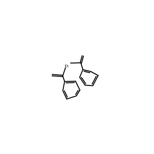 C=C(C)c1ccccc1.C=C(CC)c1ccccc1